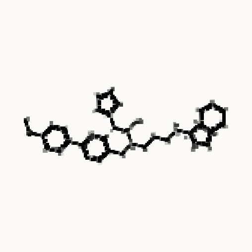 COc1ccc(-c2ccc(CN(CCCNc3nsc4ccccc34)[S+]([O-])Cn3ccnc3)cc2)cc1